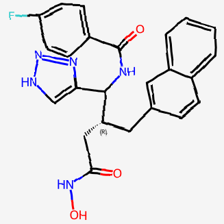 O=C(C[C@@H](Cc1ccc2ccccc2c1)C(NC(=O)c1ccc(F)cc1)c1c[nH]nn1)NO